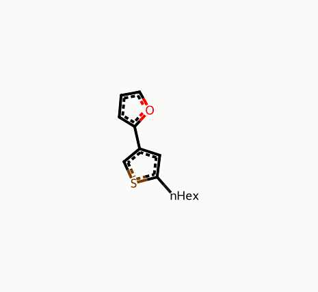 CCCCCCc1cc(-c2ccco2)cs1